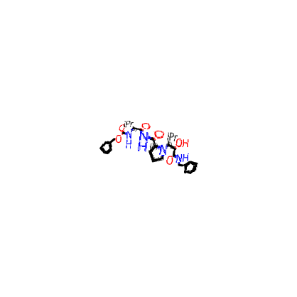 CC(C)[C@@H](C(O)C(=O)NCc1ccccc1)N1CCC[C@H]1C(=O)NC(=O)[C@@H](NC(=O)OCc1ccccc1)C(C)C